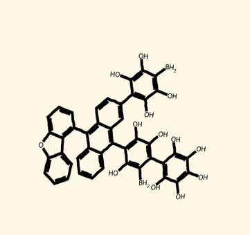 Bc1c(O)c(O)c(-c2ccc3c(-c4cccc5oc6ccccc6c45)c4ccccc4c(-c4c(O)c(B)c(-c5c(O)c(O)c(O)c(O)c5O)c(O)c4O)c3c2)c(O)c1O